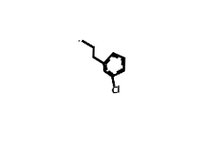 [CH2]CCc1cccc(Cl)c1